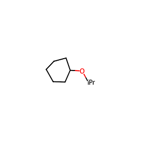 CC(C)OC1CCCCC1